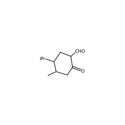 CC(C)C1CC(C=O)C(=O)CC1C